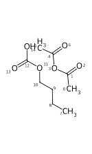 CC(=O)OC(C)=O.CCCCOC(=O)O